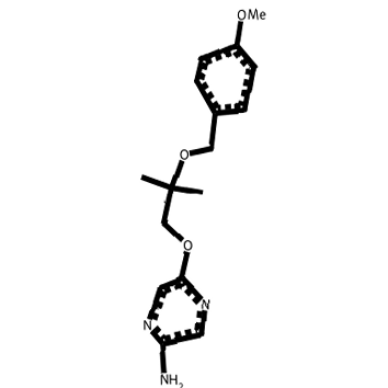 COc1ccc(COC(C)(C)COc2cnc(N)cn2)cc1